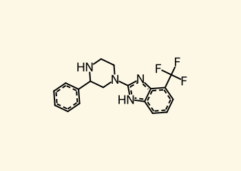 FC(F)(F)c1cccc2[nH]c(N3CCNC(c4ccccc4)C3)nc12